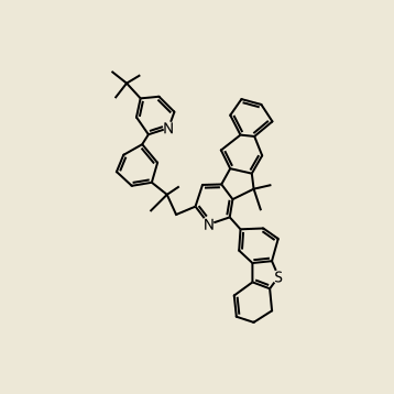 CC(C)(C)c1ccnc(-c2cccc(C(C)(C)Cc3cc4c(c(-c5ccc6sc7c(c6c5)C=CCC7)n3)C(C)(C)c3cc5ccccc5cc3-4)c2)c1